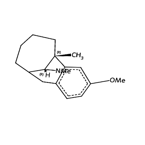 CN[C@@H]1C2CCCC[C@]1(C)c1cc(OC)ccc1C2